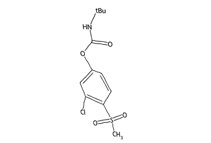 CC(C)(C)NC(=O)Oc1ccc(S(C)(=O)=O)c(Cl)c1